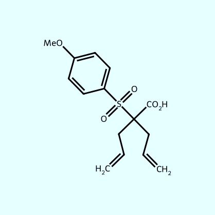 C=CCC(CC=C)(C(=O)O)S(=O)(=O)c1ccc(OC)cc1